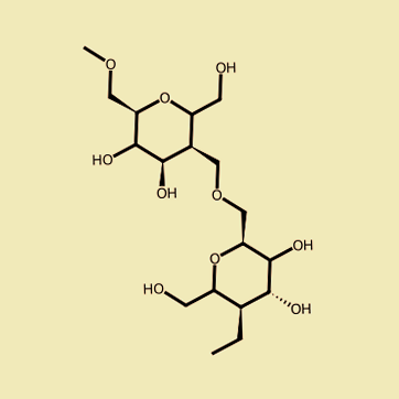 CC[C@H]1C(CO)O[C@@H](COC[C@@H]2C(CO)O[C@H](COC)C(O)[C@@H]2O)C(O)[C@@H]1O